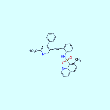 Cc1ccc2cccnc2c1S(=O)(=O)Nc1ccccc1C#Cc1cnc(C(=O)O)cc1-c1ccccc1